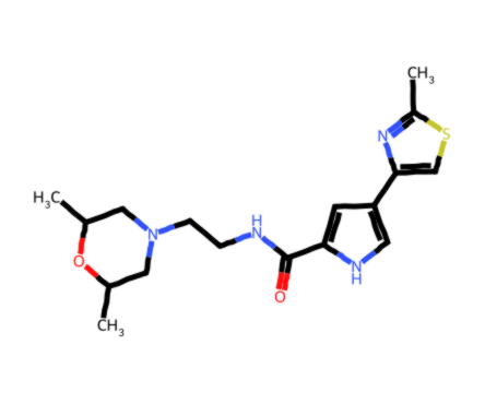 Cc1nc(-c2c[nH]c(C(=O)NCCN3CC(C)OC(C)C3)c2)cs1